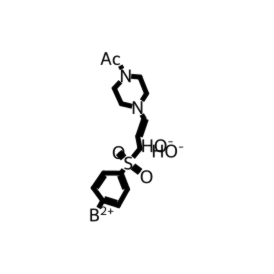 [B+2]c1ccc(S(=O)(=O)CC=CN2CCN(C(C)=O)CC2)cc1.[OH-].[OH-]